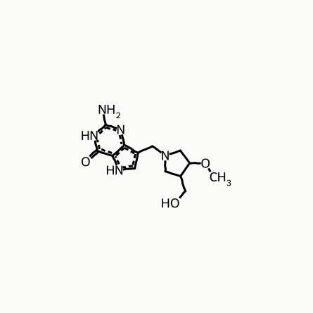 COC1CN(Cc2c[nH]c3c(=O)[nH]c(N)nc23)CC1CO